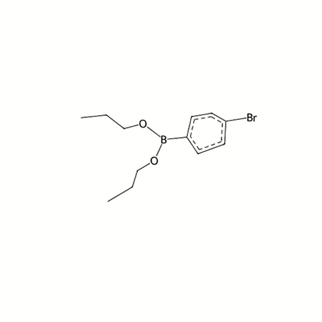 CCCOB(OCCC)c1ccc(Br)cc1